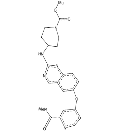 CNC(=O)c1cc(Oc2ccc3nc(NC4CCN(C(=O)OC(C)(C)C)CC4)ncc3c2)ccn1